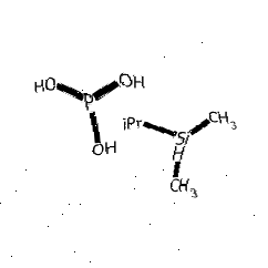 CC(C)[SiH](C)C.OP(O)O